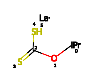 CC(C)OC(=S)S.[La]